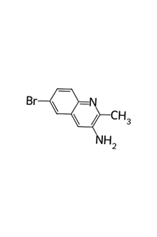 Cc1nc2ccc(Br)cc2cc1N